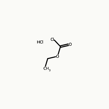 CCOC(=O)Cl.Cl